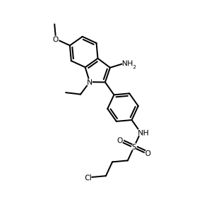 CCn1c(-c2ccc(NS(=O)(=O)CCCCl)cc2)c(N)c2ccc(OC)cc21